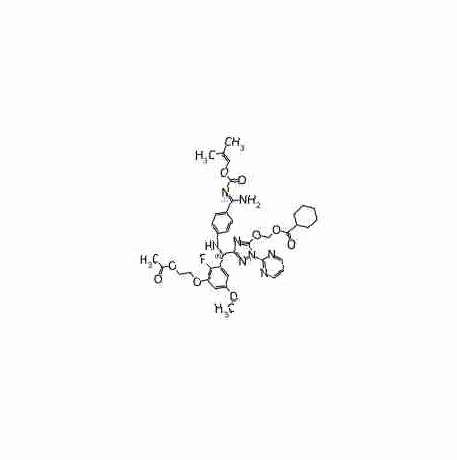 COc1cc(OCCOC(C)=O)c(F)c([C@@H](Nc2ccc(/C(N)=N/C(=O)OC=C(C)C)cc2)c2nc(OCOC(=O)C3CCCCC3)n(-c3ncccn3)n2)c1